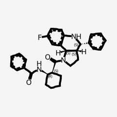 O=C(N[C@@H]1CCCC[C@@H]1C(=O)N1CC[C@H]2[C@@H](c3ccccc3)Nc3ccc(F)cc3[C@H]21)c1ccccc1